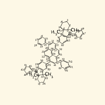 CC12CCCCC1(C)c1cc(-c3cc(-c4ccccc4)c4ccc5c(-c6ccc7c(c6)C6(C)CCCCC6(C)B7c6ccccc6)cc(-c6ccccc6)c6ccc3c4c65)ccc1B2c1ccccc1